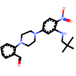 CC(C)(C)CNc1cc(N2CCN(c3ccccc3C=O)CC2)ccc1[N+](=O)[O-]